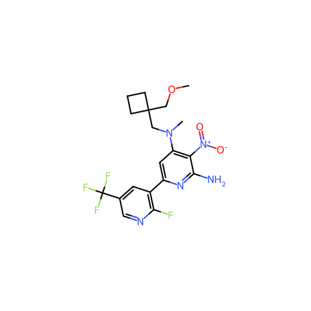 COCC1(CN(C)c2cc(-c3cc(C(F)(F)F)cnc3F)nc(N)c2[N+](=O)[O-])CCC1